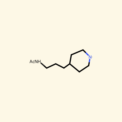 CC(=O)NCCCC1CC[N]CC1